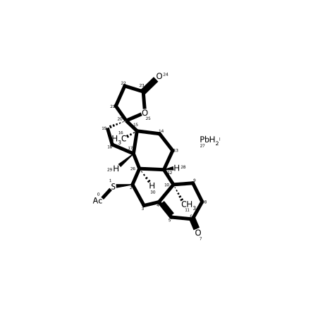 CC(=O)S[C@@H]1CC2=CC(=O)CC[C@]2(C)[C@H]2CC[C@@]3(C)[C@@H](CC[C@@]34CCC(=O)O4)[C@H]12.[PbH2]